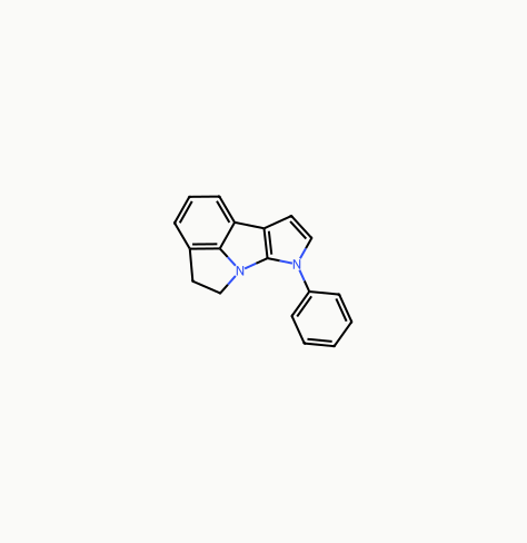 c1ccc(-n2ccc3c4cccc5c4n(c32)CC5)cc1